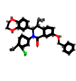 CC(C)(C)c1ccc(N2C(=O)c3cc(OCc4ccccc4)ccc3C(C(=O)O)C2c2ccc3c(c2)OCCO3)cc1Cl